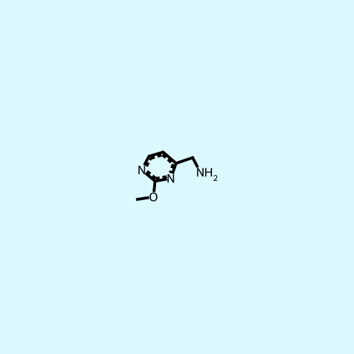 COc1nccc(CN)n1